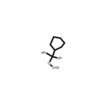 CCCC(CCC)(OC=O)C1CCCCC1